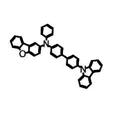 c1ccc(N(c2ccc(-c3ccc(-n4c5ccccc5c5ccccc54)cc3)cc2)c2ccc3oc4ccccc4c3c2)cc1